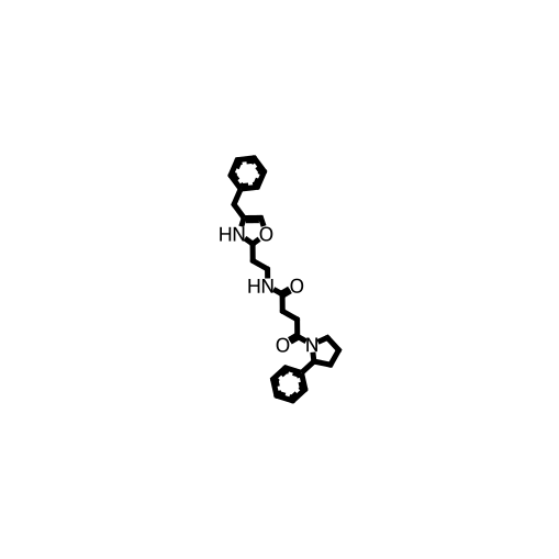 O=C(CCC(=O)N1CCCC1c1ccccc1)NCCC1NC(Cc2ccccc2)=CO1